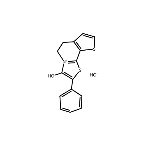 Oc1c(-c2ccccc2)sc2[n+]1CCc1ccsc1-2.[OH-]